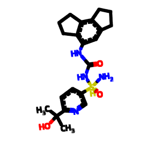 CC(C)(O)c1ccc([SH](N)(=O)NC(=O)Nc2cc3c(c4c2CCC4)CCC3)cn1